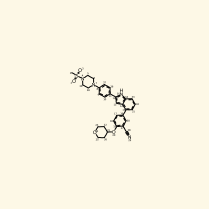 CS(=O)(=O)N1CCN(c2ccc(-c3cc4c(-c5ccc(OC6CCOCC6)c(C#N)c5)cccc4[nH]3)cc2)CC1